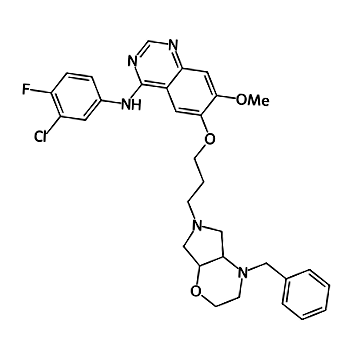 COc1cc2ncnc(Nc3ccc(F)c(Cl)c3)c2cc1OCCCN1CC2OCCN(Cc3ccccc3)C2C1